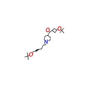 CC(C)(C)OCC#CCCCN1CCC(C(=O)C2CC(OC(C)(C)C)C2)CC1